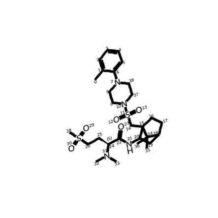 Cc1ccccc1N1CCN(S(=O)(=O)CC23CCC(CC2NC(=O)[C@H](CCS(C)(=O)=O)N(C)C)C3(C)C)CC1